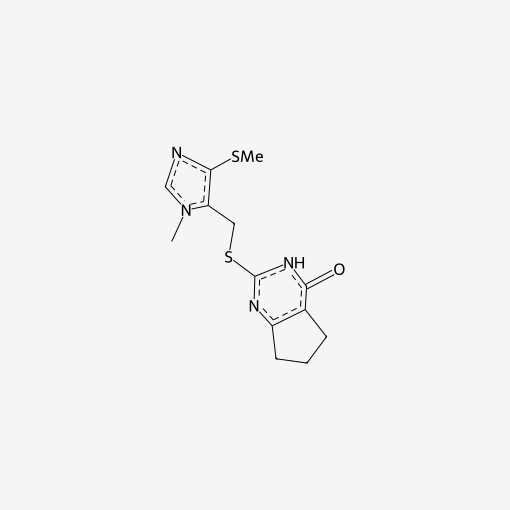 CSc1ncn(C)c1CSc1nc2c(c(=O)[nH]1)CCC2